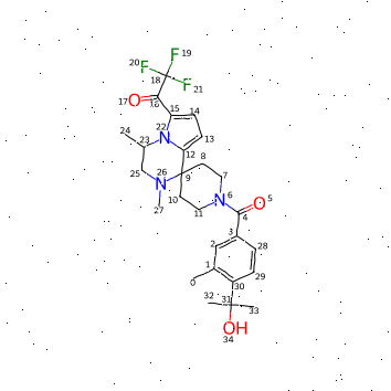 Cc1cc(C(=O)N2CCC3(CC2)c2ccc(C(=O)C(F)(F)F)n2C(C)CN3C)ccc1C(C)(C)O